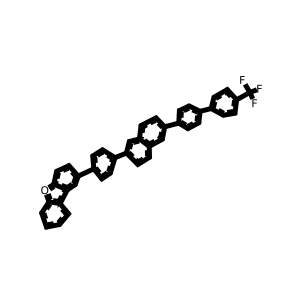 FC(F)(F)c1ccc(-c2ccc(-c3ccc4cc(-c5ccc(-c6ccc7oc8ccccc8c7c6)cc5)ccc4c3)cc2)cc1